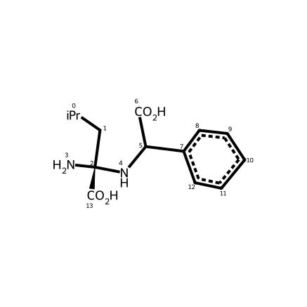 CC(C)C[C@@](N)(NC(C(=O)O)c1ccccc1)C(=O)O